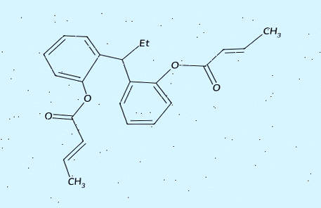 CC=CC(=O)Oc1ccccc1C(CC)c1ccccc1OC(=O)C=CC